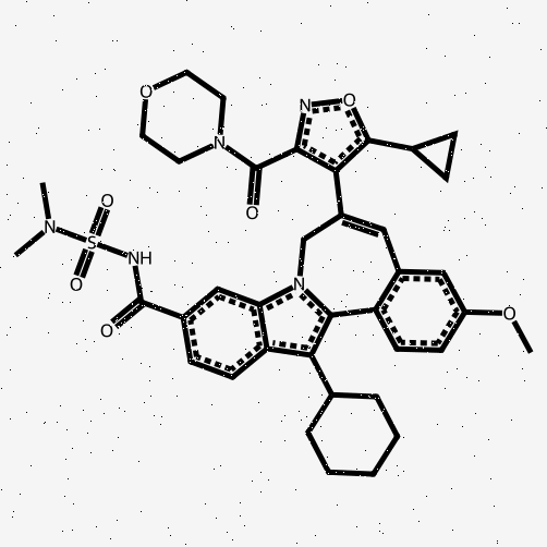 COc1ccc2c(c1)C=C(c1c(C(=O)N3CCOCC3)noc1C1CC1)Cn1c-2c(C2CCCCC2)c2ccc(C(=O)NS(=O)(=O)N(C)C)cc21